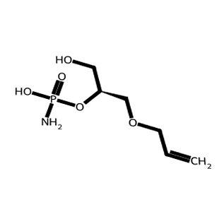 C=CCOC[C@H](CO)OP(N)(=O)O